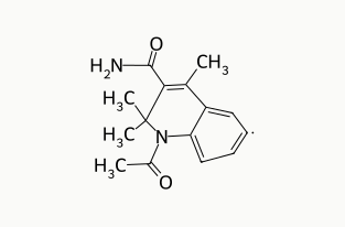 CC(=O)N1c2cc[c]cc2C(C)=C(C(N)=O)C1(C)C